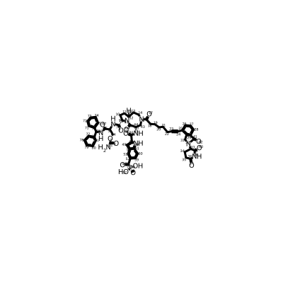 NC(=O)OCC(NC(=O)[C@@H]1CC[C@@H]2CCN(C(=O)CCCCCC#Cc3cccc4c3CN(C3CCC(=O)NC3=O)C4=O)C[C@H](NC(=O)c3cc4cc(C(=O)P(=O)(O)O)ccc4[nH]3)C(=O)N21)C(=O)NC(c1ccccc1)c1ccccc1